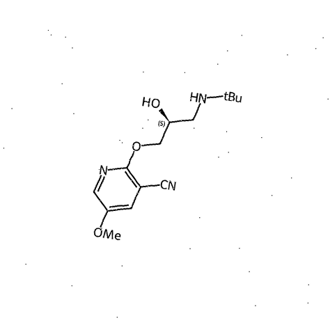 COc1cnc(OC[C@@H](O)CNC(C)(C)C)c(C#N)c1